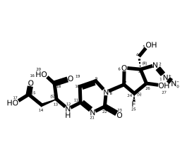 [N-]=[N+]=N[C@]1(CO)OC(n2ccc(N[C@@H](CC(=O)O)C(=O)O)nc2=O)[C@@H](F)C1O